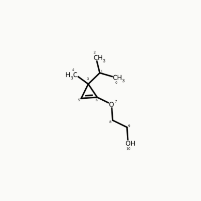 CC(C)C1(C)C=C1OCCO